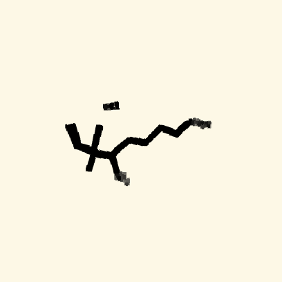 C=CC(C)(C)C(N)CCCCCCCCCCC.Cl